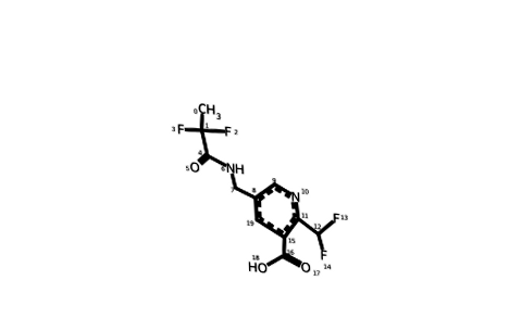 CC(F)(F)C(=O)NCc1cnc(C(F)F)c(C(=O)O)c1